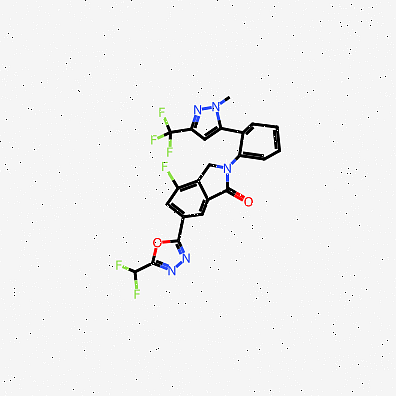 Cn1nc(C(F)(F)F)cc1-c1ccccc1N1Cc2c(F)cc(-c3nnc(C(F)F)o3)cc2C1=O